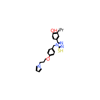 CC(C)c1cc(-c2nnc(S)n2Cc2ccc(OCCCn3cccc3)cc2)ccc1O